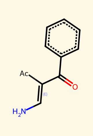 CC(=O)/C(=C\N)C(=O)c1ccccc1